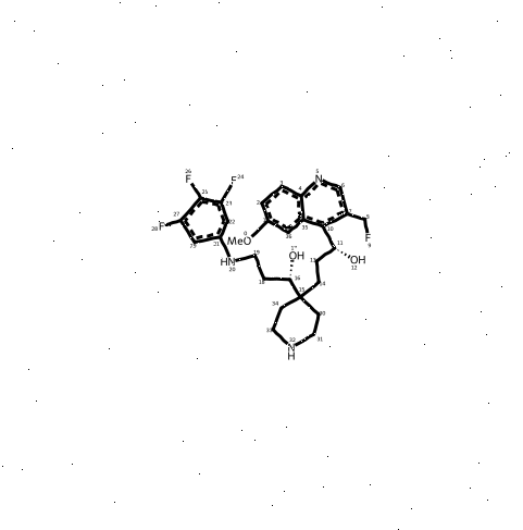 COc1ccc2ncc(CF)c([C@H](O)CCC3([C@@H](O)CCNc4cc(F)c(F)c(F)c4)CCNCC3)c2c1